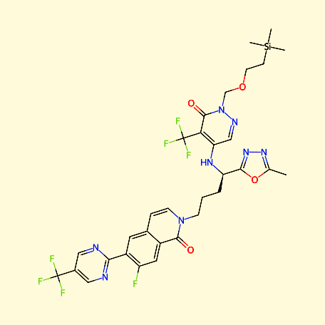 Cc1nnc([C@@H](CCCn2ccc3cc(-c4ncc(C(F)(F)F)cn4)c(F)cc3c2=O)Nc2cnn(COCC[Si](C)(C)C)c(=O)c2C(F)(F)F)o1